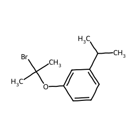 CC(C)c1cccc(OC(C)(C)Br)c1